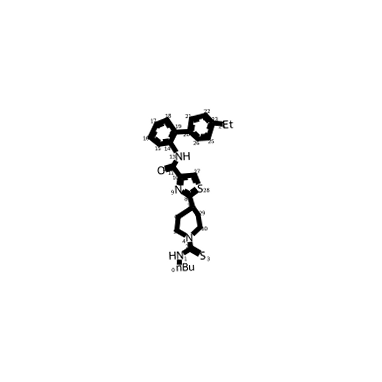 CCCCNC(=S)N1CCC(c2nc(C(=O)Nc3ccccc3-c3ccc(CC)cc3)cs2)CC1